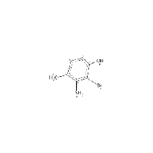 Cc1ccc(O)c(Br)c1N